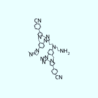 CN(C)[C@H]1CCN(c2ccc3c(c2)Cn2cc(-c4ccc(C#N)cc4)cc2-c2ncc(CCN(CCN)c4ccc5c(c4)Cn4cc(-c6ccc(C#N)cc6)cc4-c4nncn4-5)n2-3)C1